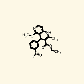 CCOC(=O)C1=C(C)Nc2ccnc(OC)c2C1c1cccc([N+](=O)[O-])c1